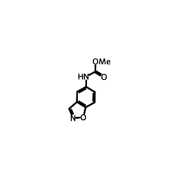 COC(=O)Nc1ccc2oncc2c1